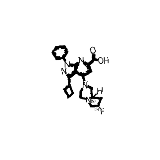 O=C(O)c1cc(N2CCN3C[C@@H](F)C[C@H]3C2)c2c(C3CCC3)nn(-c3ccccc3)c2n1